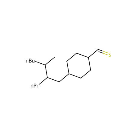 CCCCC(C)C(CCC)CC1CCC(C=S)CC1